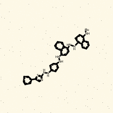 CCC(C)Nc1ccc(NNc2ccc(NNc3ccc(NNc4ncc(-c5ccccc5)s4)cc3)c3ccccc23)c2ccccc12